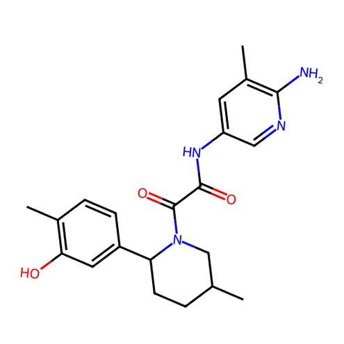 Cc1ccc(C2CCC(C)CN2C(=O)C(=O)Nc2cnc(N)c(C)c2)cc1O